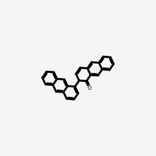 O=C1c2cc3ccccc3cc2C=CC1c1cccc2cc3ccccc3cc12